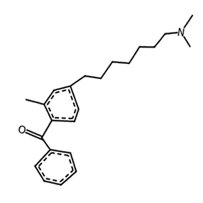 Cc1cc(CCCCCCCN(C)C)ccc1C(=O)c1ccccc1